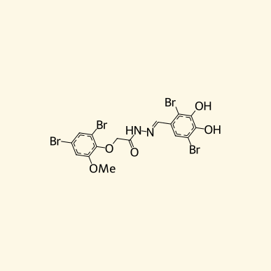 COc1cc(Br)cc(Br)c1OCC(=O)N/N=C/c1cc(Br)c(O)c(O)c1Br